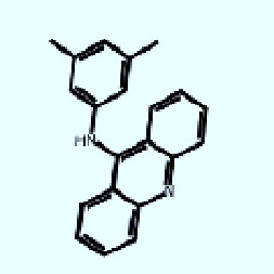 Cc1cc(C)cc(Nc2c3ccccc3nc3ccccc23)c1